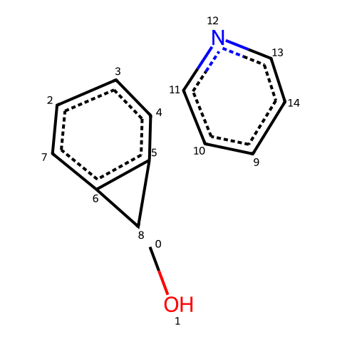 CO.c1ccc2c(c1)C2.c1ccncc1